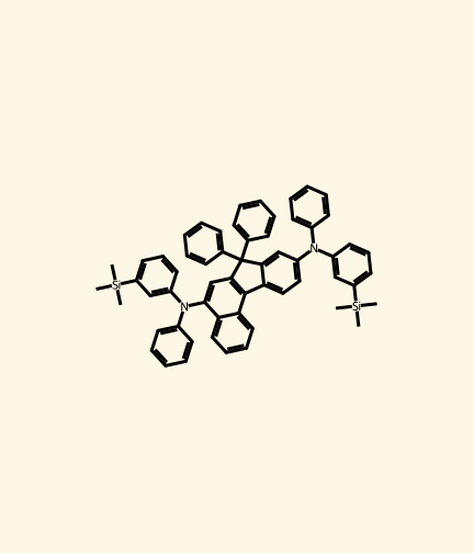 C[Si](C)(C)c1cccc(N(c2ccccc2)c2ccc3c(c2)C(c2ccccc2)(c2ccccc2)c2cc(N(c4ccccc4)c4cccc([Si](C)(C)C)c4)c4ccccc4c2-3)c1